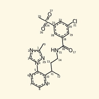 Cc1ncn(-c2nccnc2C(C)CCNC(=O)c2cc(Cl)cc(S(C)(=O)=O)c2)n1